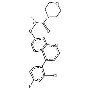 C[C@@H](Oc1ccc2c(-c3ccc(F)cc3Cl)ccnc2c1)C(=O)N1CCOCC1